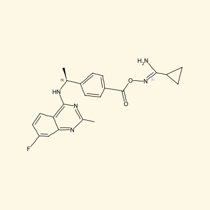 Cc1nc(N[C@@H](C)c2ccc(C(=O)O/N=C(\N)C3CC3)cc2)c2ccc(F)cc2n1